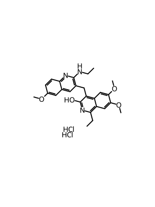 CCNc1nc2ccc(OC)cc2cc1Cc1c(O)nc(CC)c2cc(OC)c(OC)cc12.Cl.Cl